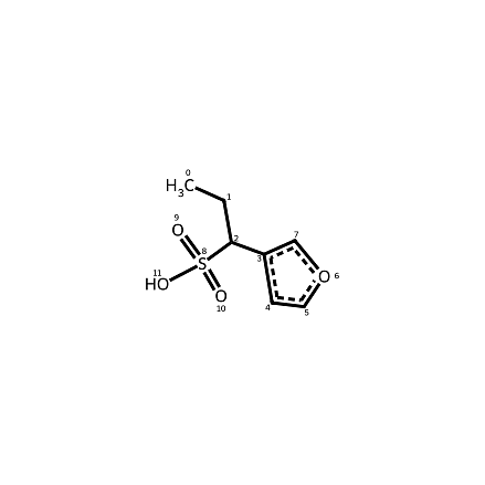 CCC(c1ccoc1)S(=O)(=O)O